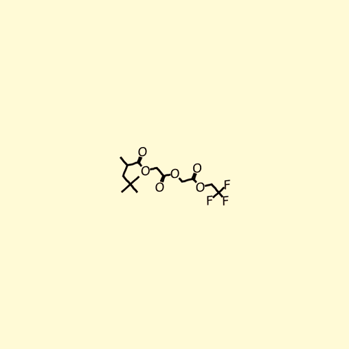 CC(CC(C)(C)C)C(=O)OCC(=O)OCC(=O)OCC(F)(F)F